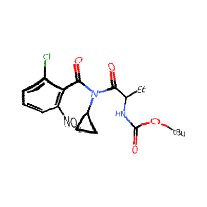 CCC(NC(=O)OC(C)(C)C)C(=O)N(C(=O)c1c(Cl)cccc1[N+](=O)[O-])C1CC1